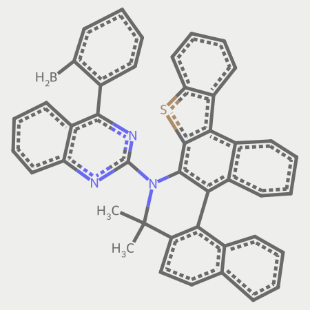 Bc1ccccc1-c1nc(N2c3c(c4ccccc4c4c3sc3ccccc34)-c3c(ccc4ccccc34)C2(C)C)nc2ccccc12